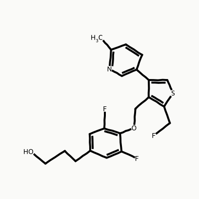 Cc1ccc(-c2csc(CF)c2COc2c(F)cc(CCCO)cc2F)cn1